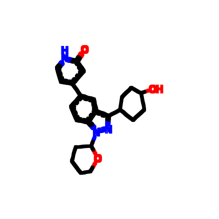 O=c1cc(-c2ccc3c(c2)c(C2CCC(O)CC2)nn3C2CCCCO2)cc[nH]1